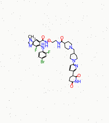 Cn1cnc2c(F)c(Nc3ccc(Br)cc3F)c(C(=O)NOCCNC(=O)C3CCN(CC4CCN(c5ccc(C6CCC(=O)NC6=O)cn5)CC4)CC3)cc21